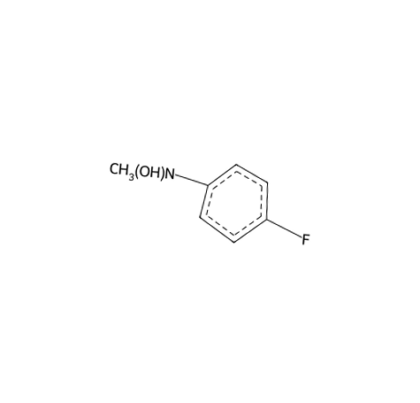 CN(O)c1ccc(F)cc1